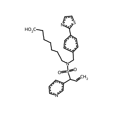 C=CC(c1cccnc1)S(=O)(=O)N(CCCCCCC(=O)O)Cc1ccc(-c2nccs2)cc1